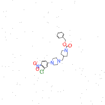 O=C(OCc1ccccc1)N1CCC(CN2CCN(c3ccc([N+](=O)[O-])c(Cl)c3)CC2)CC1